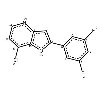 Fc1cc(F)cc(-c2cc3nccc(Cl)c3o2)c1